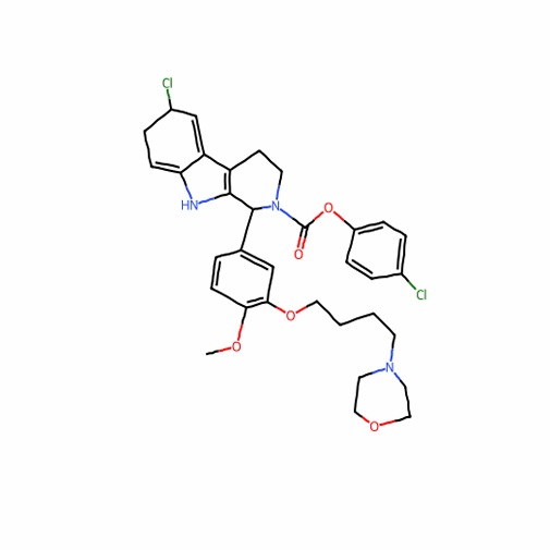 COc1ccc(C2c3[nH]c4c(c3CCN2C(=O)Oc2ccc(Cl)cc2)=CC(Cl)CC=4)cc1OCCCCN1CCOCC1